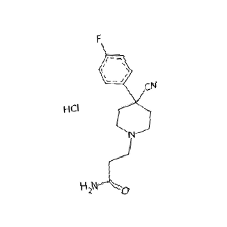 Cl.N#CC1(c2ccc(F)cc2)CCN(CCC(N)=O)CC1